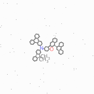 CC1(C)c2ccccc2-c2ccc(N(c3ccc4oc5c(-c6cc7ccccc7c7ccccc67)c6ccccc6cc5c4c3)c3ccc4c5ccccc5c5ccccc5c4c3)cc21